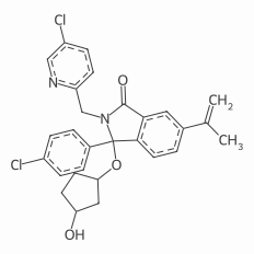 C=C(C)c1ccc2c(c1)C(=O)N(Cc1ccc(Cl)cn1)C2(OC1CCC(O)C1)c1ccc(Cl)cc1